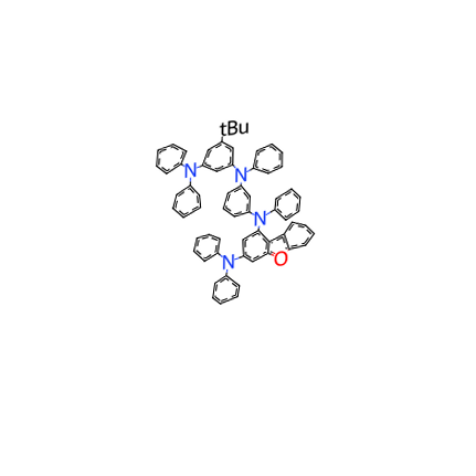 CC(C)(C)c1cc(N(c2ccccc2)c2ccccc2)cc(N(c2ccccc2)c2cccc(N(c3ccccc3)c3cc(N(c4ccccc4)c4ccccc4)cc4oc5ccccc5c34)c2)c1